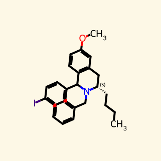 CCCC[C@H]1Cc2cc(OC)ccc2C(c2ccc(I)cc2)N1Cc1ccccc1